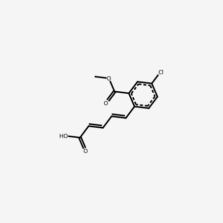 COC(=O)c1cc(Cl)ccc1C=CC=CC(=O)O